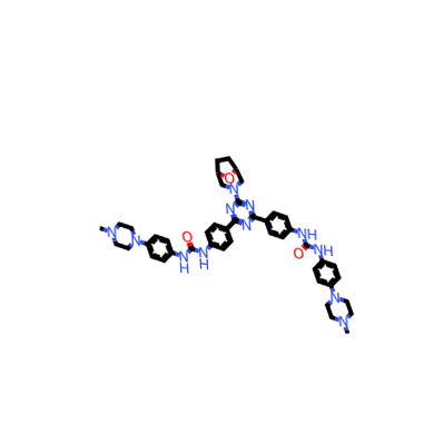 CN1CCN(c2ccc(NC(=O)Nc3ccc(-c4nc(-c5ccc(NC(=O)Nc6ccc(N7CCN(C)CC7)cc6)cc5)nc(N5CC6CCC(C5)O6)n4)cc3)cc2)CC1